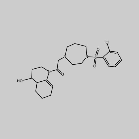 O=C(CN1CCCN(S(=O)(=O)c2ccccc2Cl)CC1)N1CCC(O)C2CCCC=C21